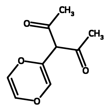 CC(=O)C(C(C)=O)C1=COC=CO1